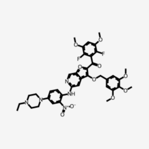 CCN1CCN(c2ccc(Nc3cc4c(OCc5cc(OC)c(OC)c(OC)c5)c(C(=O)c5c(F)c(OC)cc(OC)c5F)oc4cn3)c([N+](=O)[O-])c2)CC1